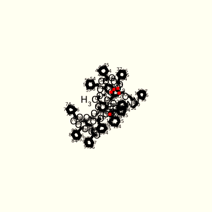 CC(OC[C@H]1O[C@@H](OCCOCC2N(c3ccccc3)CCN2c2ccccc2)[C@H](OC(=O)c2ccccc2)[C@@H](OC(=O)c2ccccc2)[C@@H]1OC(=O)c1ccccc1)[C@@H]1O[C@H](COCO[C@H](COC(=O)c2ccccc2)[C@@H](OC(=O)c2ccccc2)[C@@H](COC(=O)c2ccccc2)OC(=O)c2ccccc2)[C@@H](OC(=O)c2ccccc2)[C@H](OC(=O)c2ccccc2)[C@H]1OC(=O)c1ccccc1